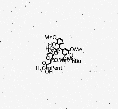 C\C=C(OC)/C(OC(CO)C(c1cc(OC)c(OC(C)CCCC)c(OC)c1)c1cccc(OC)c1O)=C(\C=C\C(=O)C(C)(O)CCCCC)OC